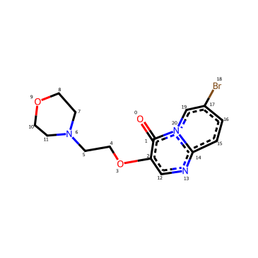 O=c1c(OCCN2CCOCC2)cnc2ccc(Br)cn12